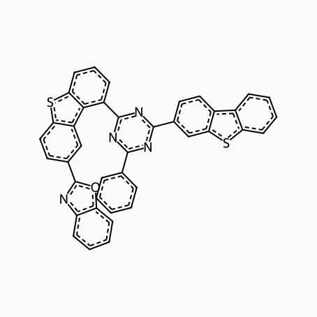 c1ccc(-c2nc(-c3ccc4c(c3)sc3ccccc34)nc(-c3cccc4sc5ccc(-c6nc7ccccc7o6)cc5c34)n2)cc1